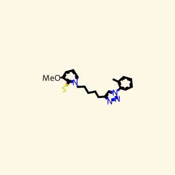 COc1cccn(CCCCCc2cn(-c3ccccc3C)nn2)c1=S